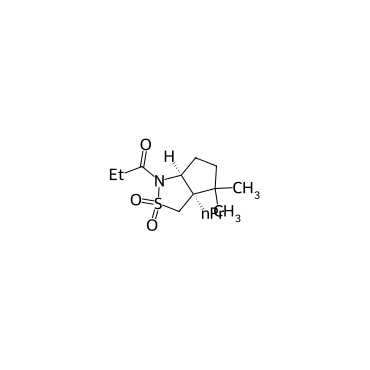 CCC[C@]12CS(=O)(=O)N(C(=O)CC)[C@H]1CCC2(C)C